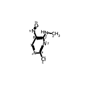 CNc1nc(Cl)ncc1N=O